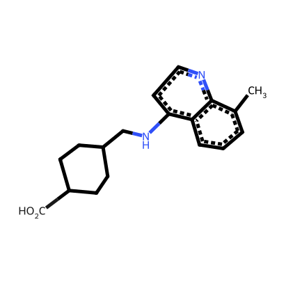 Cc1cccc2c(NCC3CCC(C(=O)O)CC3)ccnc12